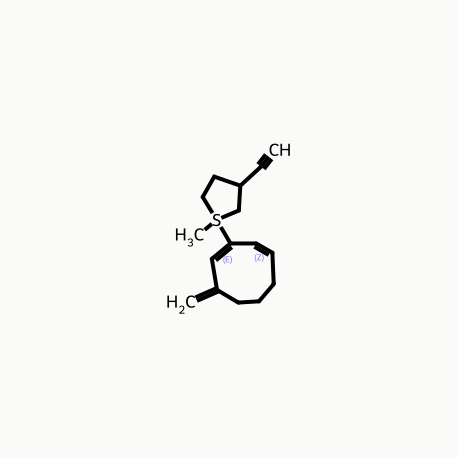 C#CC1CCS(C)(C2=C/C(=C)CCC/C=C\2)C1